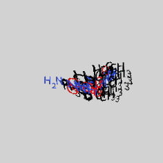 CC[C@H](C)[C@@H]([C@@H](CC(=O)N1CCC[C@H]1[C@H](OC)[C@@H](C)C(=O)N[C@@H](Cc1ccccc1)C(=O)Nc1ccc(N)cc1)OC)N(C)C(=O)[C@@H](NC(=O)[C@H](C(C)C)N(C)CC)C(C)C